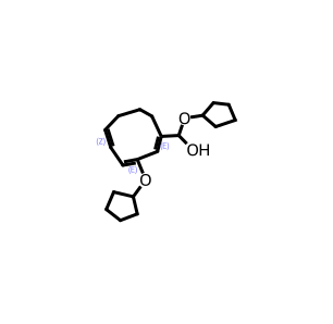 OC(OC1CCCC1)/C1=C/C(OC2CCCC2)=C\C=C/CCC1